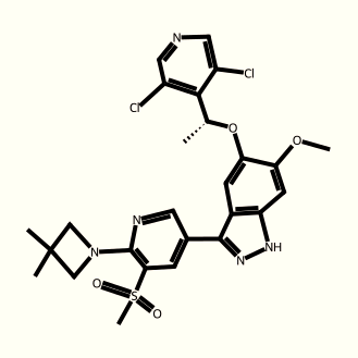 COc1cc2[nH]nc(-c3cnc(N4CC(C)(C)C4)c(S(C)(=O)=O)c3)c2cc1O[C@H](C)c1c(Cl)cncc1Cl